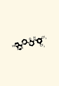 O=C1C(Nc2cc(C(F)(F)F)cc(C(F)(F)F)c2)CCCN1[C@@H]1CCCN(c2ncnc3[nH]ccc23)C1